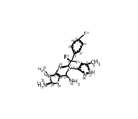 Cc1cc(N2C(C(F)(F)c3ccc(F)cc3)=NC3=C(SC(N)N3C)C2N)n[nH]1